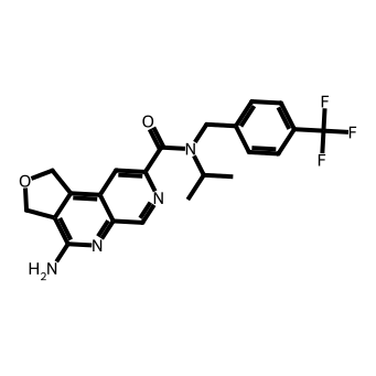 CC(C)N(Cc1ccc(C(F)(F)F)cc1)C(=O)c1cc2c3c(c(N)nc2cn1)COC3